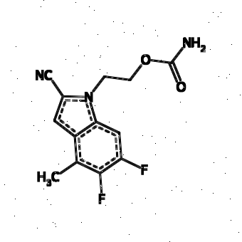 Cc1c(F)c(F)cc2c1cc(C#N)n2CCOC(N)=O